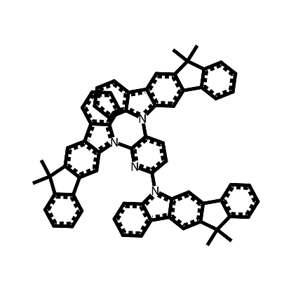 CC1(C)c2ccccc2-c2cc3c(cc21)c1ccccc1n3-c1ccc(-n2c3ccccc3c3cc4c(cc32)-c2ccccc2C4(C)C)c(-n2c3ccccc3c3cc4c(cc32)-c2ccccc2C4(C)C)n1